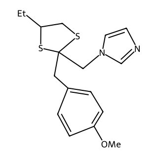 CCC1CSC(Cc2ccc(OC)cc2)(Cn2ccnc2)S1